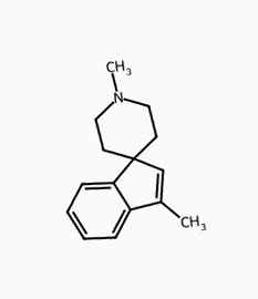 CC1=CC2(CCN(C)CC2)c2ccccc21